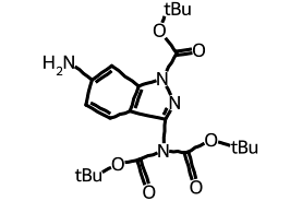 CC(C)(C)OC(=O)N(C(=O)OC(C)(C)C)c1nn(C(=O)OC(C)(C)C)c2cc(N)ccc12